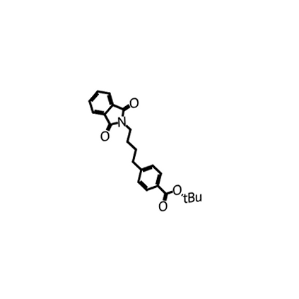 CC(C)(C)OC(=O)c1ccc(CCCCN2C(=O)c3ccccc3C2=O)cc1